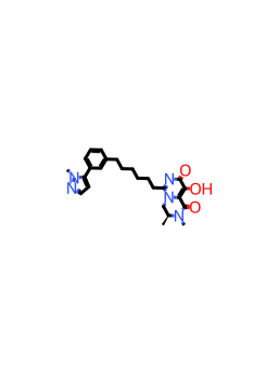 C[C@H]1Cn2c(CCCCCCc3cccc(-c4ccnn4C)c3)nc(=O)c(O)c2C(=O)N1C